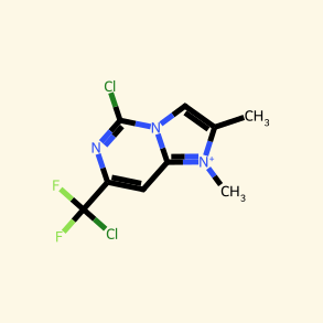 Cc1cn2c(Cl)nc(C(F)(F)Cl)cc2[n+]1C